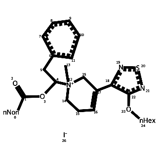 CCCCCCCCCC(=O)OC(Cc1ccccc1)[N+]1(C)CCC=C(c2nsnc2OCCCCCC)C1.[I-]